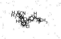 Cc1nn(C(C)(C)C#N)cc1Nc1ncc(Cl)c(OCC2CCC(NC3CC(C)(F)C3)CC2)n1